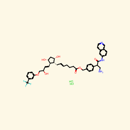 Cl.Cl.NCC(C(=O)Nc1ccc2cnccc2c1)c1ccc(COC(=O)CCC/C=C/C[C@@H]2[C@@H](/C=C/[C@@H](O)COc3cccc(C(F)(F)F)c3)[C@H](O)C[C@@H]2O)cc1